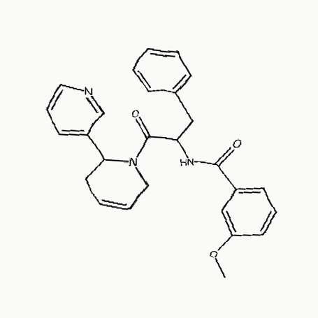 COc1cccc(C(=O)NC(Cc2ccccc2)C(=O)N2CC=CCC2c2cccnc2)c1